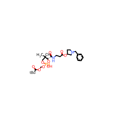 CC(C)(C)C(=O)OCO[PH]1(O)OCC(C)(C)[C@H](C(=O)NCCC(=O)OC2CCN(Cc3ccccc3)C2)O1